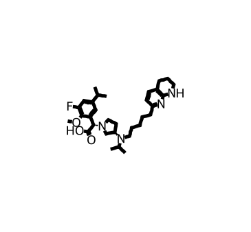 COc1c(F)cc(C(C)C)cc1[C@@H](C(=O)O)N1CC[C@@H](N(CCCCCc2ccc3c(n2)NCCC3)C(C)C)C1